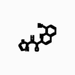 O=C(Nc1nccs1)c1ccc2cccc(Br)c2n1